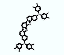 Cc1ccc(N(c2ccc(C)c(C)c2)c2ccc3c(ccc4c5ccc6c7ccc8cc(N(c9ccc(C)c(C)c9)c9ccc(C)c(C)c9)ccc8c7oc6c5oc34)c2)cc1C